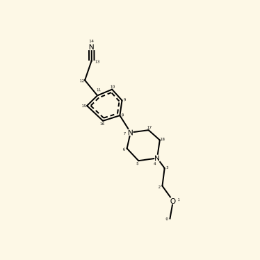 COCCN1CCN(c2ccc(CC#N)cc2)CC1